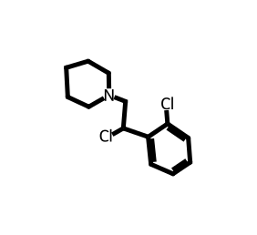 Clc1ccccc1C(Cl)CN1CCCCC1